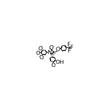 COc1ccc([C@H]2[C@H](COc3ccc(C(F)(F)F)cc3)C(=O)N2c2cc(OC)c(OC)c(OC)c2)cc1O